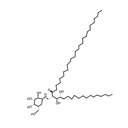 CCCCCCCCCCCCCCCCCCCCCCCCCC(=O)[C@@H](CN[C@H]1C[C@H](CO)[C@H](O)[C@H](O)[C@H]1O)[C@H](O)[C@H](O)CCCCCCCCCCCCCC